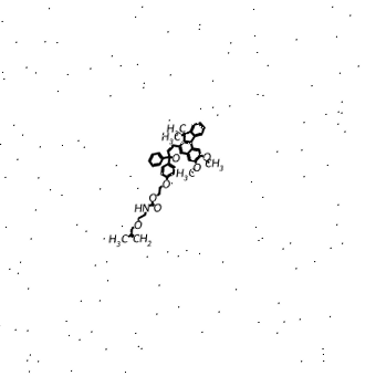 C=C(C)COCCNC(=O)OCCOc1ccc(C2(c3ccccc3)C=Cc3c4c(c5cc(OC)c(OC)cc5c3O2)-c2ccccc2C4(C)C)cc1